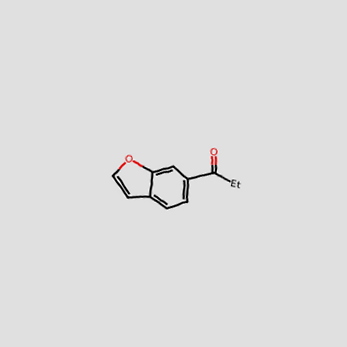 CCC(=O)c1ccc2ccoc2c1